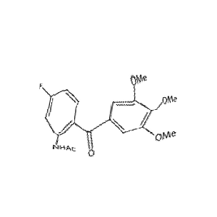 COc1cc(C(=O)c2ccc(F)cc2NC(C)=O)cc(OC)c1OC